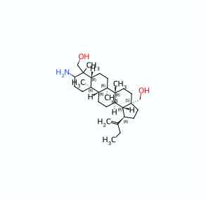 C=C(CC)[C@@H]1CC[C@]2(CO)CC[C@]3(C)[C@H](CC[C@@H]4[C@@]5(C)CCC(N)C(C)(CO)[C@@H]5CC[C@]43C)[C@@H]12